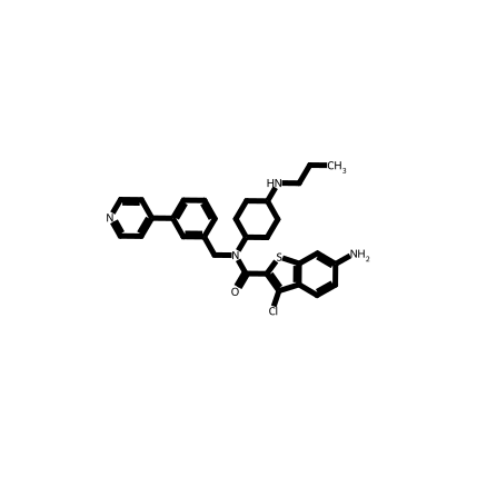 CCCNC1CCC(N(Cc2cccc(-c3ccncc3)c2)C(=O)c2sc3cc(N)ccc3c2Cl)CC1